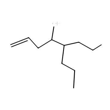 [CH]=CCC(O)C(CCC)CCC